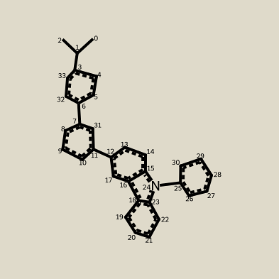 CC(C)c1ccc(-c2cccc(-c3ccc4c(c3)c3ccccc3n4-c3ccccc3)c2)cc1